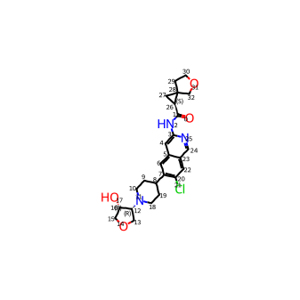 O=C(Nc1cc2cc(C3CCN([C@@H]4COC[C@@H]4O)CC3)c(Cl)cc2cn1)[C@H]1CC12CCOC2